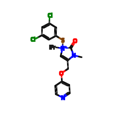 CC(C)[N+]1(Sc2cc(Cl)cc(Cl)c2)C=C(COc2ccncc2)N(C)C1=O